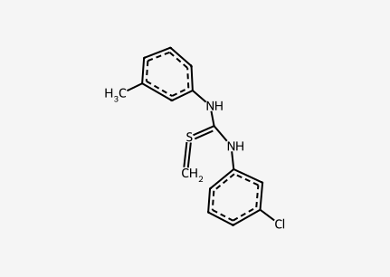 C=S=C(Nc1cccc(C)c1)Nc1cccc(Cl)c1